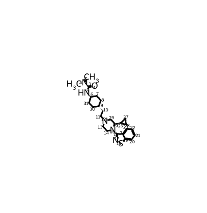 CN(C)C(=O)N[C@H]1CC[C@H](CCN2CCN(c3nsc4ccccc34)[C@H](C3CC3)C2)CC1